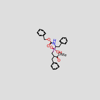 COC(=O)C(Cc1ccccc1)CP(=O)(O)C(Cc1ccccc1)NC(=O)OCc1ccccc1